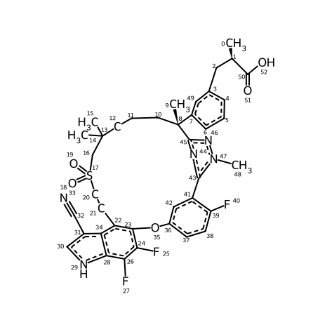 C[C@H](Cc1cccc([C@@]2(C)CCCC(C)(C)CS(=O)(=O)CCc3c(c(F)c(F)c4[nH]cc(C#N)c34)Oc3ccc(F)c(c3)-c3nc2nn3C)c1)C(=O)O